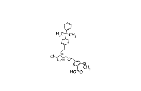 COc1cc(COC[C@H]2CC=C(Cl)[C@@H]2CCc2ccc(C(C)(C)c3ccccc3)cc2)sc1C(=O)O